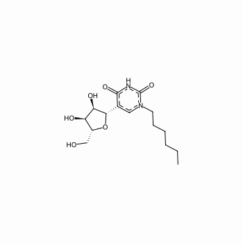 CCCCCCn1cc([C@@H]2O[C@H](CO)[C@@H](O)[C@H]2O)c(=O)[nH]c1=O